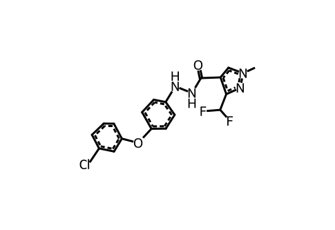 Cn1cc(C(=O)NNc2ccc(Oc3cccc(Cl)c3)cc2)c(C(F)F)n1